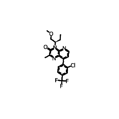 CC[C@H](COC)n1c(=O)c(C)nc2c(-c3ccc(C(F)(F)F)cc3Cl)ccnc21